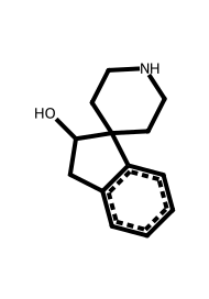 OC1Cc2ccccc2C12CCNCC2